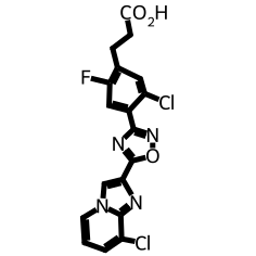 O=C(O)CCc1cc(Cl)c(-c2noc(-c3cn4cccc(Cl)c4n3)n2)cc1F